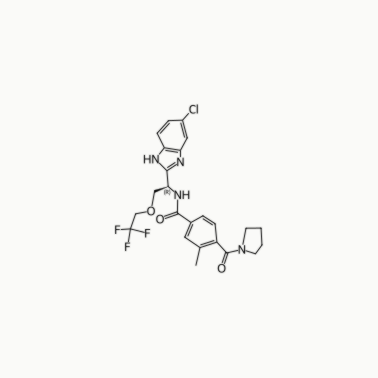 Cc1cc(C(=O)N[C@@H](COCC(F)(F)F)c2nc3cc(Cl)ccc3[nH]2)ccc1C(=O)N1CCCC1